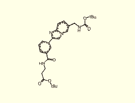 CC(C)(C)OC(=O)CCNC(=O)c1cccc(-c2cn3cc(CNC(=O)OC(C)(C)C)ccc3n2)c1